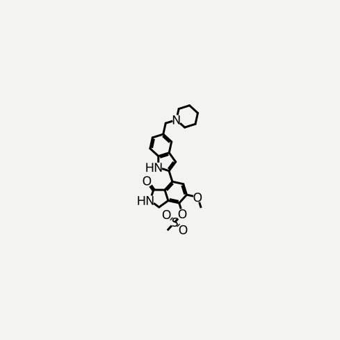 COc1cc(-c2cc3cc(CN4CCCCC4)ccc3[nH]2)c2c(c1OS(C)(=O)=O)CNC2=O